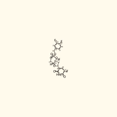 O=c1[nH]c(=O)n([C@H]2C[C@@H]3OP(=O)(OCc4ccc(F)c(F)c4)OC[C@H]3O2)cc1F